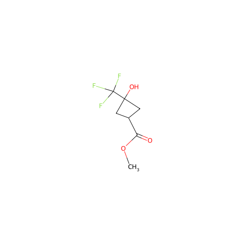 COC(=O)C1CC(O)(C(F)(F)F)C1